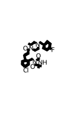 CC1CN(Cc2ccc(F)cc2)CCN1C(=O)C=Cc1ccc(Cl)cc1CN1C(=O)NC(C)(C)C1=O